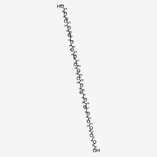 OCCOCCOCCOCCOCCOCCOCCOCCOCCOCCOCCOCCOCCOCCOCCOCCOCCOCCOCCOCCO